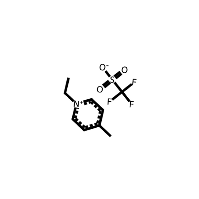 CC[n+]1ccc(C)cc1.O=S(=O)([O-])C(F)(F)F